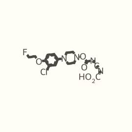 O=C(O)N=C=NC(=O)ON1CCN(c2ccc(OCCF)c(Cl)c2)CC1